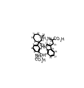 CCC1(c2cccc(O)c2)CCCCN(C)C1.NC(=O)O.NC(Cc1c[nH]c2ccccc12)C(=O)O